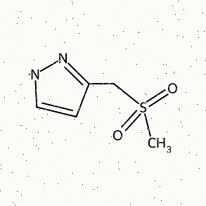 CS(=O)(=O)CC1=N[N]C=C1